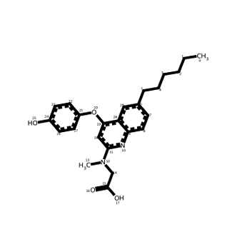 CCCCCCc1ccc2nc(N(C)CC(=O)O)cc(Oc3ccc(O)cc3)c2c1